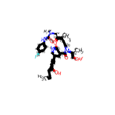 CCCC(O)C#Cc1cnc2c(c1)C(=O)N([C@H](C)CO)C[C@H](C)[C@H](CN(C)C(=O)Nc1ccc(F)cc1)O2